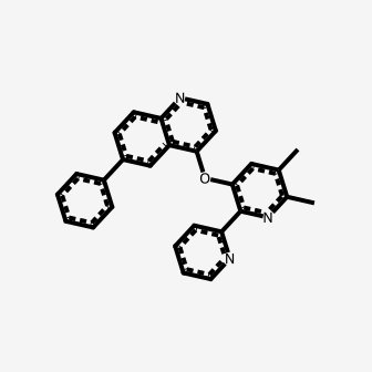 Cc1cc(Oc2ccnc3ccc(-c4ccccc4)cc23)c(-c2ccccn2)nc1C